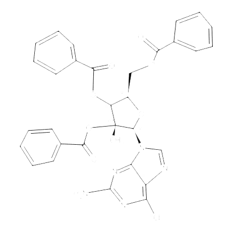 C[C@@]1(OC(=O)c2ccccc2)C(OC(=O)c2ccccc2)[C@@H](COC(=O)c2ccccc2)O[C@H]1n1cnc2c(Cl)nc(N)nc21